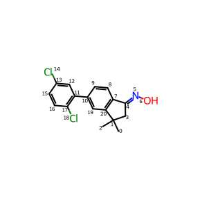 CC1(C)CC(=NO)c2ccc(-c3cc(Cl)ccc3Cl)cc21